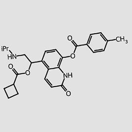 Cc1ccc(C(=O)Oc2ccc(C(CNC(C)C)OC(=O)C3CCC3)c3ccc(=O)[nH]c23)cc1